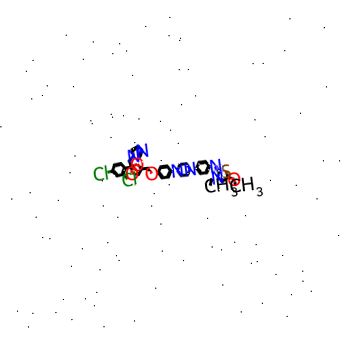 CCN1CC(OC)S/C1=N/c1ccc(N2CCN(c3ccc(OCC4COC(Cn5ccnc5)(c5ccc(Cl)cc5Cl)O4)cc3)CC2)cc1